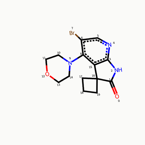 O=C1Nc2ncc(Br)c(N3CCOCC3)c2C12CCC2